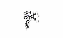 Nc1cc(N)cc(C/C=C(/C(=O)O)c2ccccc2OC(=O)c2ccc(OC(F)(F)C(F)F)cc2)c1